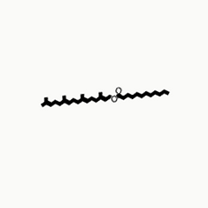 CCCCCCCCCCCC(=O)OC/C=C(\C)CC/C=C(\C)CC/C=C(\C)CCC=C(C)C